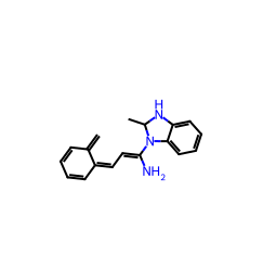 C=c1cccc/c1=C/C=C(\N)N1c2ccccc2NC1C